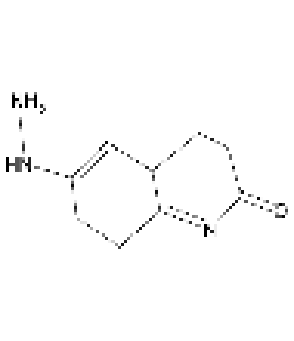 NNC1=CC2CCC(=O)N=C2CC1